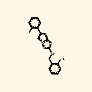 Cc1ccccc1CNc1nn2cc(-c3ccccc3Cl)nc2s1